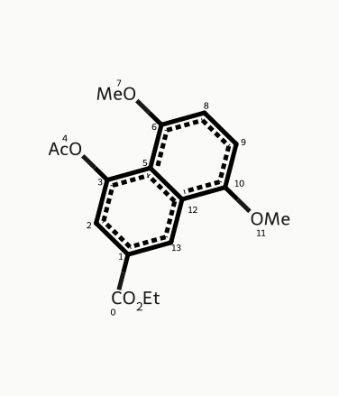 CCOC(=O)c1cc(OC(C)=O)c2c(OC)ccc(OC)c2c1